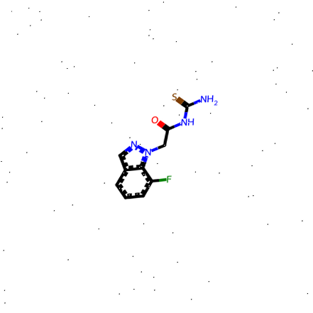 NC(=S)NC(=O)Cn1ncc2cccc(F)c21